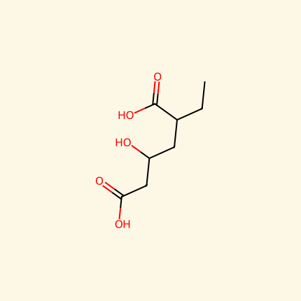 CCC(CC(O)CC(=O)O)C(=O)O